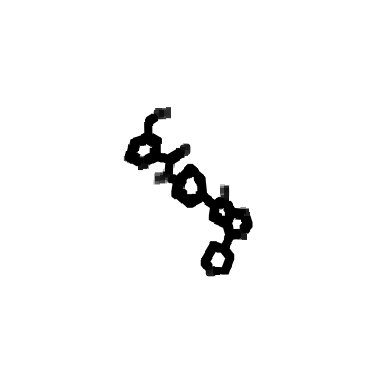 O=C(Nc1ccc(-c2cc3c(C4CCOCC4)ncnc3[nH]2)cc1)c1cc(CO)ccn1